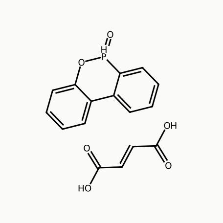 O=C(O)C=CC(=O)O.O=[PH]1Oc2ccccc2-c2ccccc21